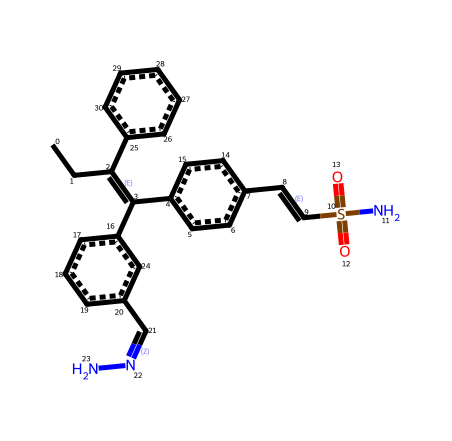 CC/C(=C(/c1ccc(/C=C/S(N)(=O)=O)cc1)c1cccc(/C=N\N)c1)c1ccccc1